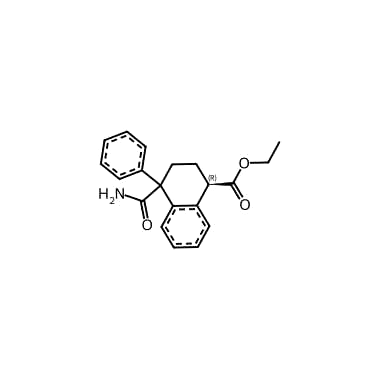 CCOC(=O)[C@@H]1CCC(C(N)=O)(c2ccccc2)c2ccccc21